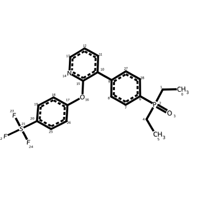 CCP(=O)(CC)c1ccc(-c2cccnc2Oc2ccc(S(F)(F)F)cc2)cc1